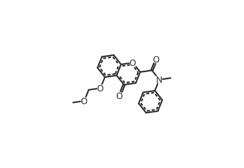 COCOc1cccc2oc(C(=O)N(C)c3ccccc3)cc(=O)c12